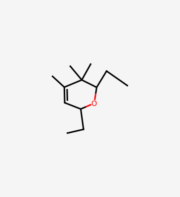 CCC1C=C(C)C(C)(C)C(CC)O1